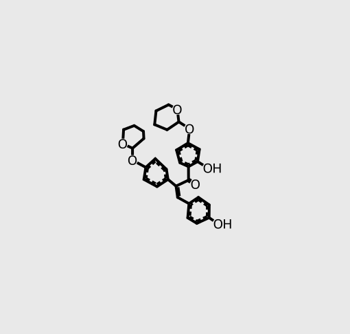 O=C(C(=Cc1ccc(O)cc1)c1ccc(OC2CCCCO2)cc1)c1ccc(OC2CCCCO2)cc1O